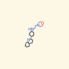 c1ccc2nc(-c3ccc(NCCN4CCOCC4)cc3)ccc2c1